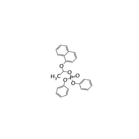 CC(Oc1cccc2ccccc12)OP(=O)(Oc1ccccc1)Oc1ccccc1